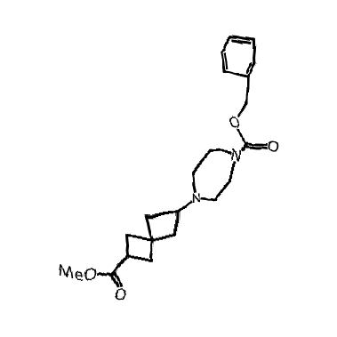 COC(=O)C1CC2(C1)CC(N1CCN(C(=O)OCc3ccccc3)CC1)C2